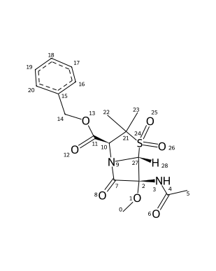 CO[C@]1(NC(C)=O)C(=O)N2[C@@H](C(=O)OCc3ccccc3)C(C)(C)S(=O)(=O)[C@@H]21